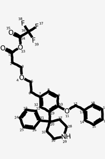 O=C(CCOCCc1ccc(OCc2ccccc2)c(C2(c3ccccc3)CCNCC2)c1)OC(=O)C(F)(F)F